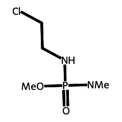 CNP(=O)(NCCCl)OC